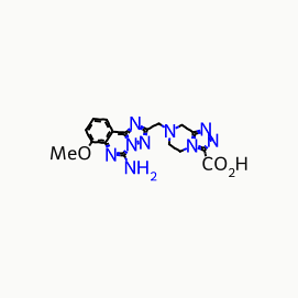 COc1cccc2c1nc(N)n1nc(CN3CCn4c(nnc4C(=O)O)C3)nc21